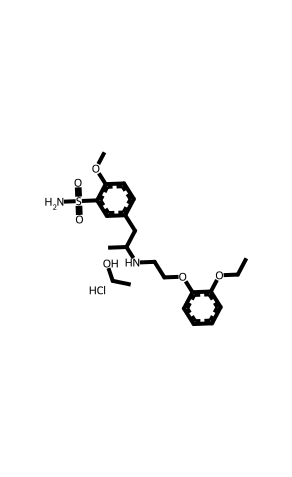 CCO.CCOc1ccccc1OCCNC(C)Cc1ccc(OC)c(S(N)(=O)=O)c1.Cl